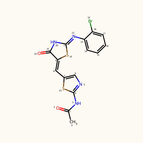 CC(=O)Nc1ncc(/C=C2\S/C(=N\c3ccccc3Br)NC2=O)s1